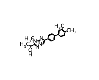 Cc1ccc(-c2ccc(-c3cn4nc(C(C)O)n(C)c4n3)cc2)cc1C